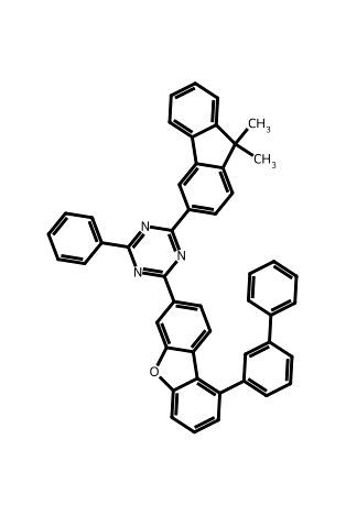 CC1(C)c2ccccc2-c2cc(-c3nc(-c4ccccc4)nc(-c4ccc5c(c4)oc4cccc(-c6cccc(-c7ccccc7)c6)c45)n3)ccc21